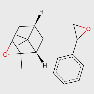 CC12OC1C[C@@H]1C[C@H]2C1(C)C.c1ccc(C2CO2)cc1